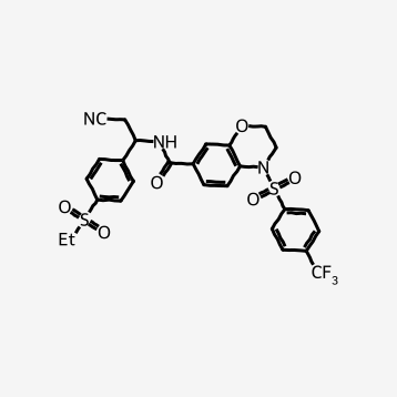 CCS(=O)(=O)c1ccc(C(CC#N)NC(=O)c2ccc3c(c2)OCCN3S(=O)(=O)c2ccc(C(F)(F)F)cc2)cc1